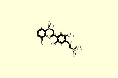 CCN(C)C=Nc1cc(Cl)c(C(=O)CN(C)c2cccc(F)c2)cc1C